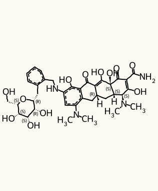 CN(C)c1cc(NCc2ccccc2C[C@H]2O[C@@H](CO)[C@@H](O)[C@@H](O)[C@H]2O)c(O)c2c1C[C@H]1C[C@H]3[C@H](N(C)C)C(O)=C(C(N)=O)C(=O)[C@@]3(O)C(O)=C1C2=O